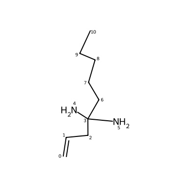 C=CCC(N)(N)CCCCC